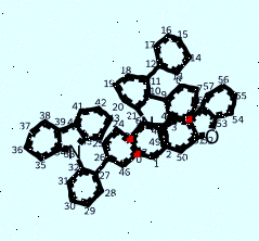 c1ccc(-c2ccccc2-c2c(-c3ccccc3)cccc2N(c2ccc(-c3ccccc3-n3c4ccccc4c4ccccc43)cc2)c2ccc3oc4ccccc4c3c2)cc1